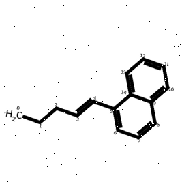 [CH2]CCC=Cc1cccc2ccccc12